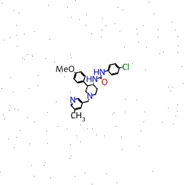 COc1ccc(C2CN(Cc3cncc(C)c3)CC[C@H]2NC(=O)Nc2ccc(Cl)cc2)cc1